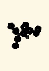 Clc1cc(N(c2ccc(-c3ccccc3)cc2)c2ccc(-c3ccccc3)cc2)cc2c1-c1cc(-c3cccc4ccccc34)ccc1C21C2CC3CC(C2)CC1C3